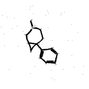 CN1CCC2(c3ccccc3)CC2C1